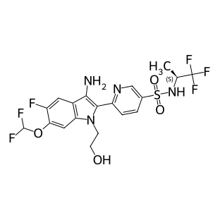 C[C@H](NS(=O)(=O)c1ccc(-c2c(N)c3cc(F)c(OC(F)F)cc3n2CCO)nc1)C(F)(F)F